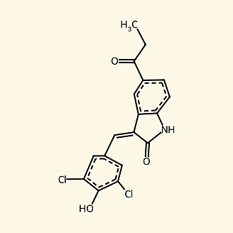 CCC(=O)c1ccc2c(c1)C(=Cc1cc(Cl)c(O)c(Cl)c1)C(=O)N2